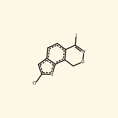 Clc1cc2ccc3c(c2s1)CON=C3I